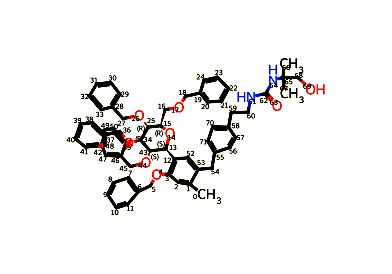 Cc1cc(OCc2ccccc2)c([C@@H]2O[C@H](COCc3ccccc3)[C@@H](OCc3ccccc3)[C@H](OCc3ccccc3)[C@H]2OCc2ccccc2)cc1Cc1ccc(CCNC(=O)NC(C)(C)CO)cc1